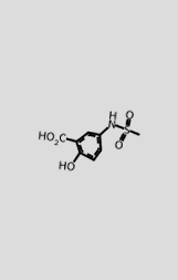 CS(=O)(=O)Nc1ccc(O)c(C(=O)O)c1